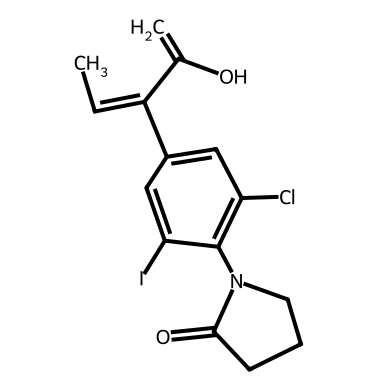 C=C(O)/C(=C\C)c1cc(Cl)c(N2CCCC2=O)c(I)c1